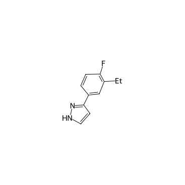 CCc1cc(-c2cc[nH]n2)ccc1F